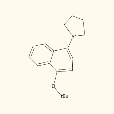 CC(C)(C)Oc1ccc([S+]2CCCC2)c2ccccc12